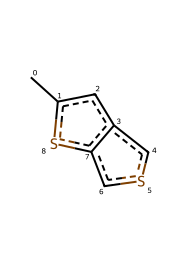 Cc1cc2cscc2s1